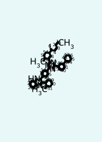 C/C=C\C=C/C(I)C1C=C(c2nc(-c3ccc(C4Nc5ccccc5N=C4C4=CC=CCC4C)cc3)nc(-c3cccc(C4=CC=CCC4)c3)n2)C(C)CC1